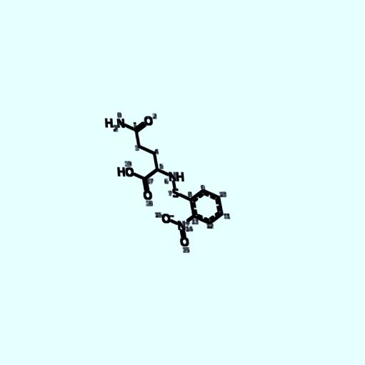 NC(=O)CCC(NSc1ccccc1[N+](=O)[O-])C(=O)O